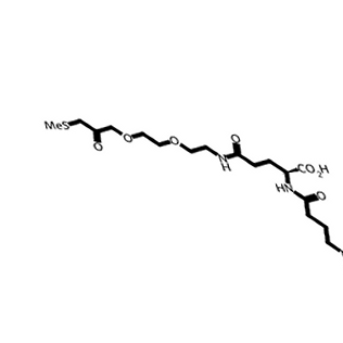 CSCC(=O)COCCOCCNC(=O)CC[C@H](NC(=O)CCCNC(C)(C)C)C(=O)O